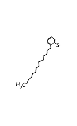 CCCCCCCCCCCCCCc1ccccc1[S]